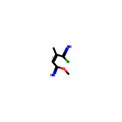 COC(=N)/C=C(/C)C(=N)Br